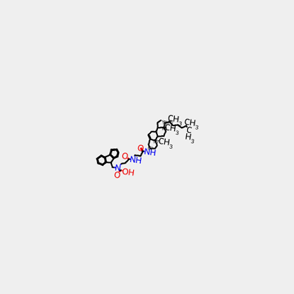 CC(C)CCC[C@@H](C)[C@H]1CCC2C3CC=C4C[C@@H](NC(=O)CCNC(=O)CCN(CC5c6ccccc6-c6ccccc65)C(=O)O)CC[C@]4(C)C3CC[C@@]21C